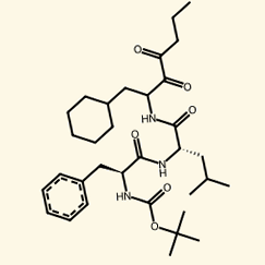 CCCC(=O)C(=O)C(CC1CCCCC1)NC(=O)[C@H](CC(C)C)NC(=O)[C@H](Cc1ccccc1)NC(=O)OC(C)(C)C